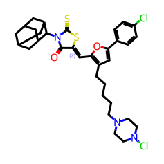 O=C1/C(=C/c2oc(-c3ccc(Cl)cc3)cc2CCCCCN2CCN(Cl)CC2)SC(=S)N1C1C2CC3CC(C2)CC1C3